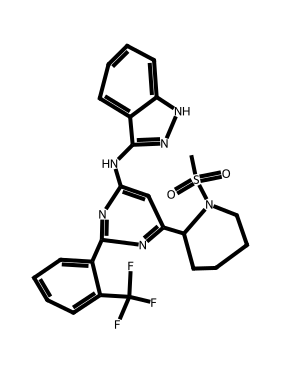 CS(=O)(=O)N1CCCCC1c1cc(Nc2n[nH]c3ccccc23)nc(-c2ccccc2C(F)(F)F)n1